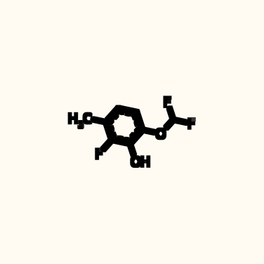 Cc1ccc(OC(F)F)c(O)c1F